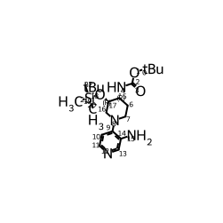 CC(C)(C)OC(=O)N[C@@H]1CCN(c2ccncc2N)C[C@H]1O[Si](C)(C)C(C)(C)C